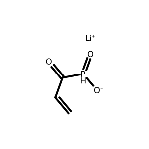 C=CC(=O)[PH](=O)[O-].[Li+]